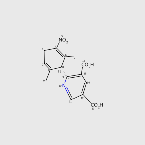 CC1=CCC([N+](=O)[O-])=C(C)[C@@H]1c1ncc(C(=O)O)cc1C(=O)O